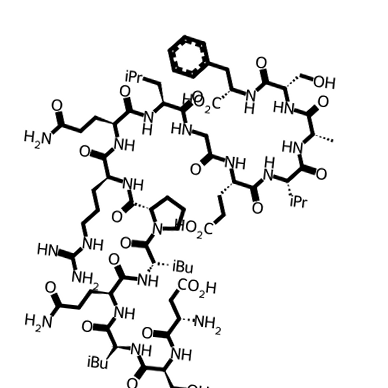 CC[C@H](C)[C@H](NC(=O)[C@H](CO)NC(=O)[C@@H](N)CC(=O)O)C(=O)N[C@@H](CCC(N)=O)C(=O)N[C@H](C(=O)N1CCC[C@H]1C(=O)N[C@@H](CCCNC(=N)N)C(=O)N[C@@H](CCC(N)=O)C(=O)N[C@@H](CC(C)C)C(=O)NCC(=O)N[C@@H](CCC(=O)O)C(=O)N[C@H](C(=O)N[C@@H](C)C(=O)N[C@@H](CO)C(=O)N[C@@H](Cc1ccccc1)C(=O)O)C(C)C)[C@@H](C)CC